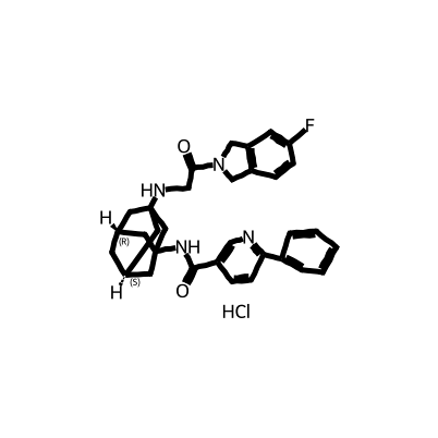 Cl.O=C(NC12C[C@@H]3C[C@@H](CC(NCC(=O)N4Cc5ccc(F)cc5C4)(C3)C1)C2)c1ccc(-c2ccccc2)nc1